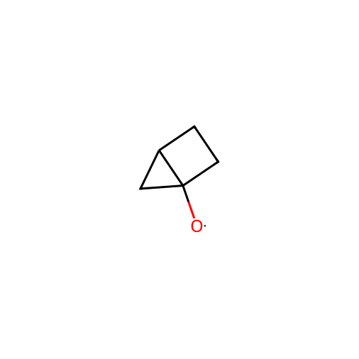 [O]C12CCC1C2